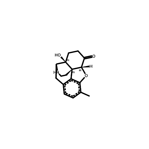 Cc1ccc2c3c1O[C@H]1C(=O)CC[C@@]4(O)C(C2)NCC[C@]314